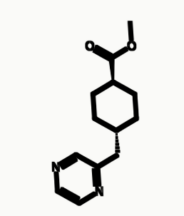 COC(=O)[C@H]1CC[C@H](Cc2cnccn2)CC1